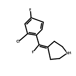 FC(=C1CCNCC1)c1ccc(F)cc1Cl